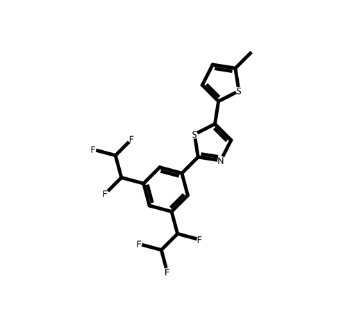 Cc1ccc(-c2cnc(-c3cc(C(F)C(F)F)cc(C(F)C(F)F)c3)s2)s1